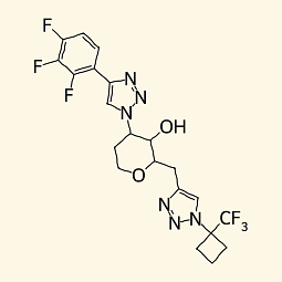 OC1C(Cc2cn(C3(C(F)(F)F)CCC3)nn2)OCCC1n1cc(-c2ccc(F)c(F)c2F)nn1